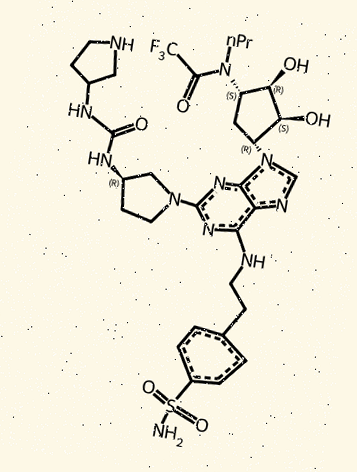 CCCN(C(=O)C(F)(F)F)[C@H]1C[C@@H](n2cnc3c(NCCc4ccc(S(N)(=O)=O)cc4)nc(N4CC[C@@H](NC(=O)NC5CCNC5)C4)nc32)[C@H](O)[C@@H]1O